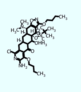 CCCCOc1noc2c1C(=O)[C@@]1(O[Si](C)(C)C(C)(C)C)C(O)C3C(=O)c4c(c(Cl)nc(N)c4OCCCC)C[C@H]3C[C@H]1[C@@H]2N(C)C